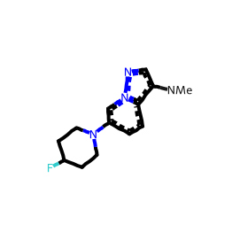 CNc1cnn2cc(N3CCC(F)CC3)ccc12